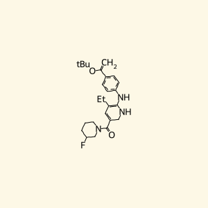 C=C(OC(C)(C)C)c1ccc(NC2=C(CC)C=C(C(=O)N3CCCC(F)C3)CN2)cc1